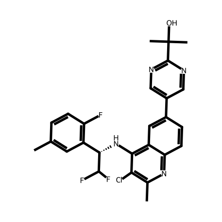 Cc1ccc(F)c([C@H](Nc2c(Cl)c(C)nc3ccc(-c4cnc(C(C)(C)O)nc4)cc23)C(F)F)c1